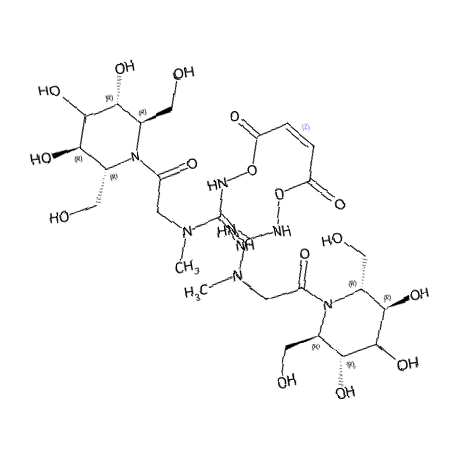 CN(CC(=O)N1[C@H](CO)[C@@H](O)C(O)[C@H](O)[C@H]1CO)C(=N)NOC(=O)/C=C\C(=O)ONC(=N)N(C)CC(=O)N1[C@H](CO)[C@@H](O)C(O)[C@H](O)[C@H]1CO